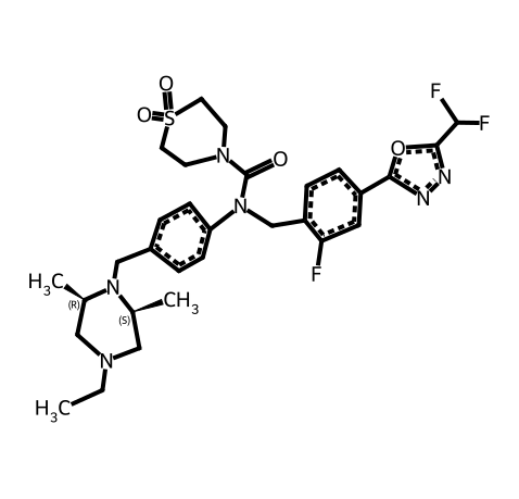 CCN1C[C@@H](C)N(Cc2ccc(N(Cc3ccc(-c4nnc(C(F)F)o4)cc3F)C(=O)N3CCS(=O)(=O)CC3)cc2)[C@@H](C)C1